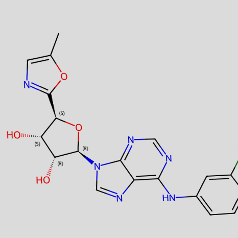 Cc1cnc([C@H]2O[C@@H](n3cnc4c(Nc5cccc(F)c5)ncnc43)[C@H](O)[C@@H]2O)o1